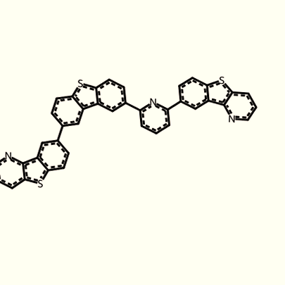 c1cc(-c2ccc3sc4ccc(-c5ccc6sc7cccnc7c6c5)cc4c3c2)nc(-c2ccc3sc4cccnc4c3c2)c1